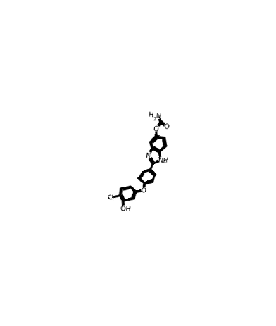 NC(=O)Oc1ccc2[nH]c(-c3ccc(Oc4ccc(Cl)c(O)c4)cc3)nc2c1